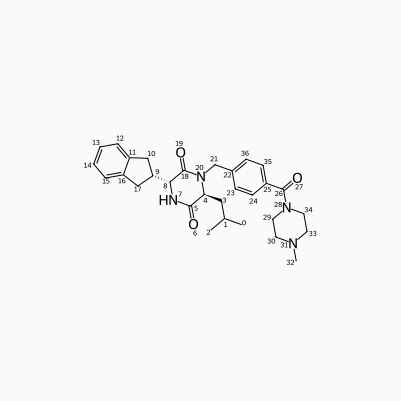 CC(C)C[C@H]1C(=O)N[C@H](C2Cc3ccccc3C2)C(=O)N1Cc1ccc(C(=O)N2CCN(C)CC2)cc1